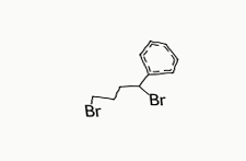 BrCCCC(Br)c1ccccc1